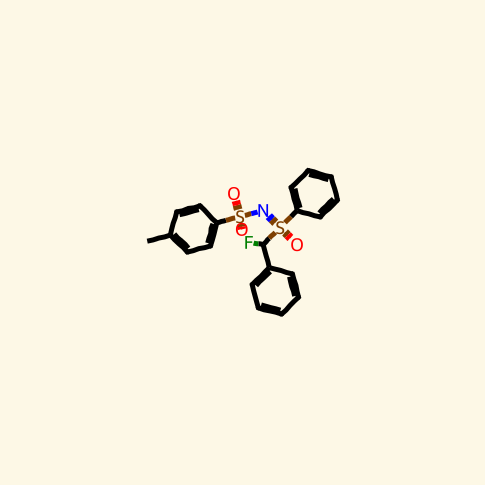 Cc1ccc(S(=O)(=O)N=S(=O)(c2ccccc2)C(F)c2ccccc2)cc1